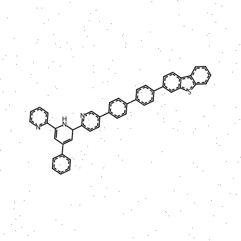 C1=C(c2ccccc2)C=C(c2ccccn2)NC1c1ccc(-c2ccc(-c3ccc(-c4ccc5c(c4)sc4ccccc45)cc3)cc2)cn1